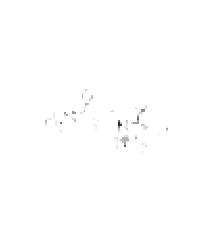 NC(=O)CCN(N)C(=O)O